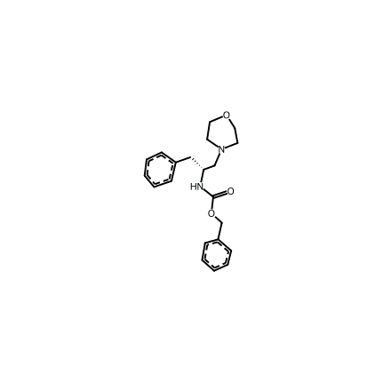 O=C(N[C@H](Cc1ccccc1)CN1CCOCC1)OCc1ccccc1